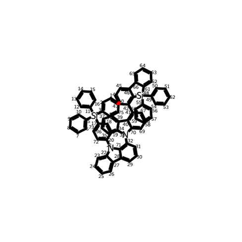 c1ccc([Si](c2ccccc2)(c2ccccc2)c2ccc(-n3c4ccccc4c4cccc(-n5c6ccccc6c6c(-c7cccc8c7[Si](c7ccccc7)(c7ccccc7)c7ccccc7-8)cccc65)c43)cc2)cc1